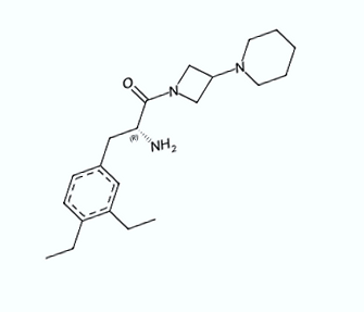 CCc1ccc(C[C@@H](N)C(=O)N2CC(N3CCCCC3)C2)cc1CC